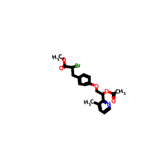 COC(=O)C(Br)Cc1ccc(OCC(OC(C)=O)c2ncccc2C)cc1